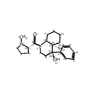 CN1CCC[C@H]1C(=O)N1CC[C@@](O)(c2ccccc2)[C@@H]2CCCCC21